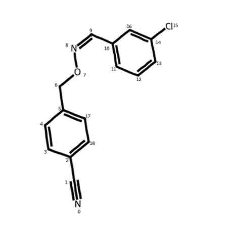 N#Cc1ccc(CO/N=[C]\c2cccc(Cl)c2)cc1